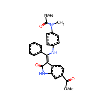 CNC(=O)N(C)c1ccc(N/C(=C2/C(=O)Nc3cc(C(=O)OC)ccc32)c2ccccc2)cc1